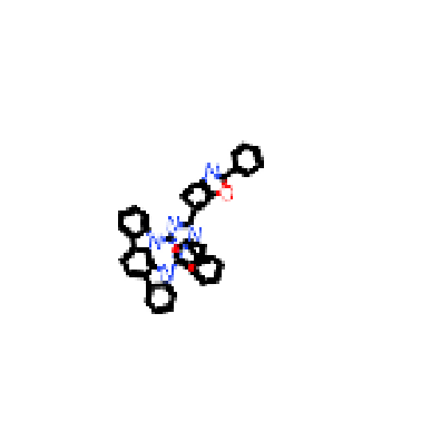 c1ccc(-c2nc(-c3ccc4nc(-c5ccccc5)oc4c3)nc(-n3c4ccccc4c4ccc5c6ccccc6n(-c6ccccc6)c5c43)n2)cc1